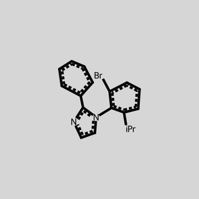 CC(C)c1cccc(Br)c1-n1ccnc1-c1ccccc1